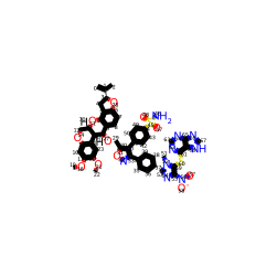 C=C(C)[C@H]1Cc2c(ccc3c2O[C@@H]2COc4cc(OC)c(OC)cc4[C@@H]2C3=O)O1.Cc1onc(-c2ccccc2)c1-c1ccc(S(N)(=O)=O)cc1.Cn1cnc([N+](=O)[O-])c1Sc1ncnc2nc[nH]c12